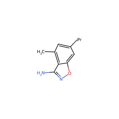 Cc1cc(C(C)C)cc2onc(N)c12